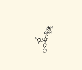 O=C(Nc1nn[nH]n1)c1ccc(CN(C(=O)Cc2ccc(F)cc2F)c2ccc(C3CCCCC3)cc2)cc1